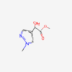 COC(=O)C(O)c1cnn(C)c1